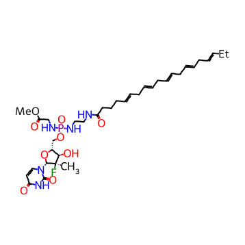 CCC=CCC=CCC=CCC=CCC=CCCCC(=O)NCCNP(=O)(NCC(=O)OC)OC[C@H]1O[C@@H](n2ccc(=O)[nH]c2=O)[C@](C)(F)[C@@H]1O